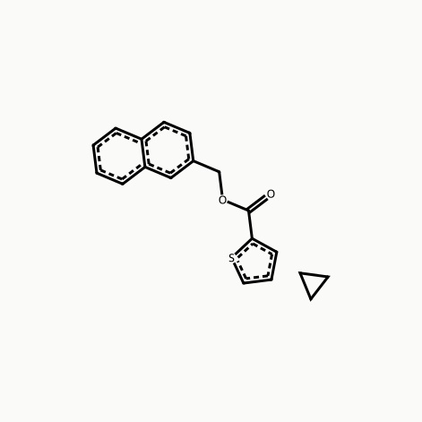 C1CC1.O=C(OCc1ccc2ccccc2c1)c1cccs1